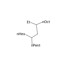 CCCCCCCCC(CC)CC(CCCCC)CCCCCC